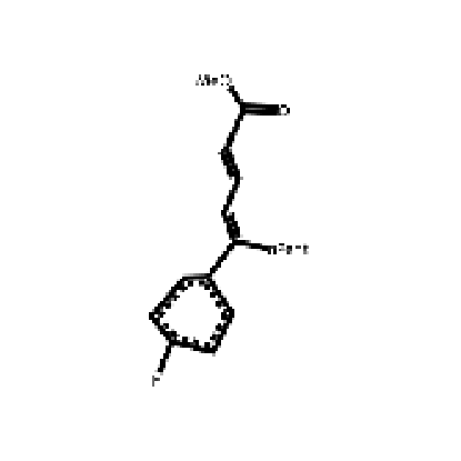 CCCCCC(=CC=CC(=O)OC)c1ccc(F)cc1